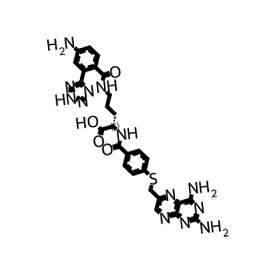 Nc1ccc(C(=O)NCCC[C@H](NC(=O)c2ccc(SCc3cnc4nc(N)nc(N)c4n3)cc2)C(=O)O)c(-c2nn[nH]n2)c1